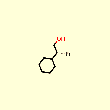 CC(C)[C@@H](CO)C1CCCCC1